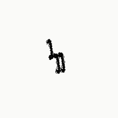 Cc1ccc(OCCCCCCOCc2cc(C)on2)c(-c2cc(OCCOCCCOCc3cc(C)on3)c(-c3cc(OCCCOCCOCc4cc(C)on4)ccc3C)cc2C)c1